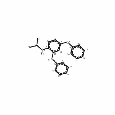 CC(C)Nc1ccc(Sc2ccccc2)cc1Sc1ccccc1